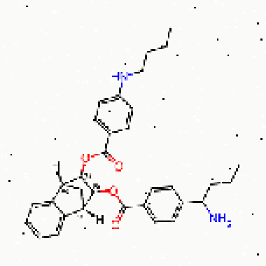 CCCCNc1ccc(C(=O)O[C@H]2[C@@H](OC(=O)c3ccc(C(N)CCC)cc3)[C@H]3C[C@@H]2c2ccccc23)cc1